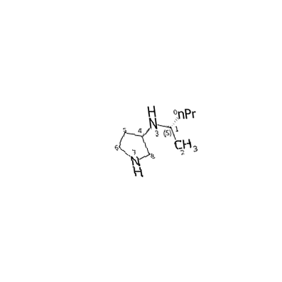 CCC[C@H](C)NC1CCNC1